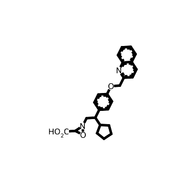 O=C(O)C1ON1CC(c1ccc(OCc2ccc3ccccc3n2)cc1)C1CCCC1